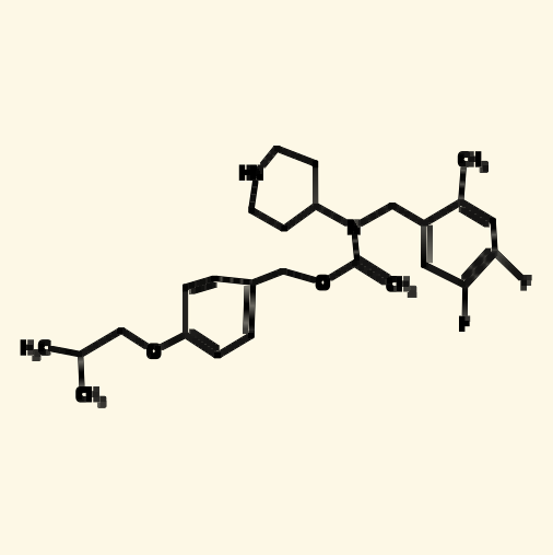 C=C(OCc1ccc(OCC(C)C)cc1)N(Cc1cc(F)c(F)cc1C)C1CCNCC1